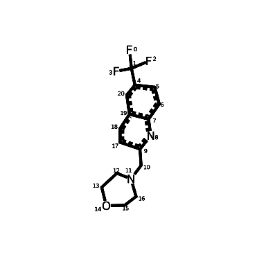 FC(F)(F)c1ccc2nc(CN3CCOCC3)ccc2c1